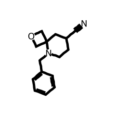 N#CC1CCN(Cc2ccccc2)C2(COC2)C1